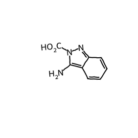 Nc1c2ccccc2nn1C(=O)O